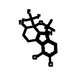 C[Si](C)(C)OC1(C(F)(F)F)c2[nH]c3ccc(Cl)c(Cl)c3c2CCC1F